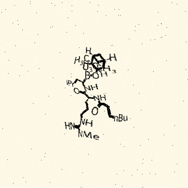 CCCC/C=C/C(=O)N[C@@H](CCCNC(=N)NC)C(=O)N[C@@H](CC(C)C)B1O[C@@H]2C[C@@H]3C[C@@H](C3(C)C)[C@]2(C)O1